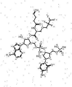 C=CCCC(=O)N[C@@H](COCC(F)(F)C(F)F)C(=O)O[C@H]1[C@@H](O)[C@H](n2cnc3c(N)ncnc32)O[C@@H]1COP(=O)(O)O[C@H]1[C@@H](O)[C@H](n2ccc(N)nc2=O)O[C@@H]1COP(=O)(O)O